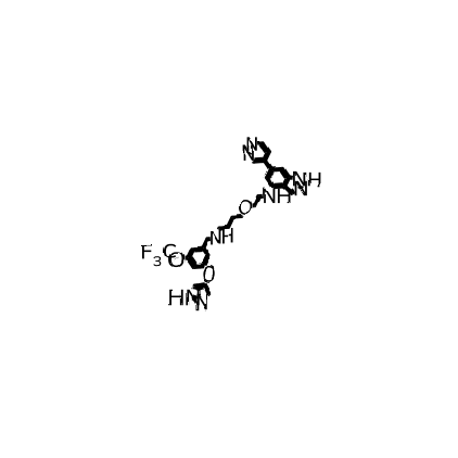 FC(F)(F)Oc1cc(CNCCCCOCCNc2cc(-c3ccnnc3)cc3[nH]ncc23)cc(Oc2cn[nH]c2)c1